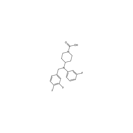 O=C(O)N1CCC(N(Cc2ccc(F)c(F)c2)c2cccc(F)c2)CC1